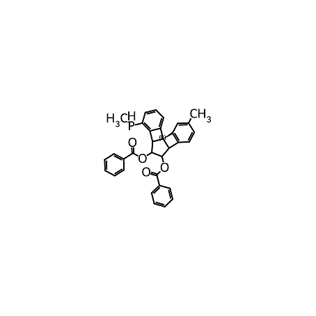 CPc1cccc2c1C1C(OC(=O)c3ccccc3)C(OC(=O)c3ccccc3)C3c4ccc(C)cc4[C@@]231